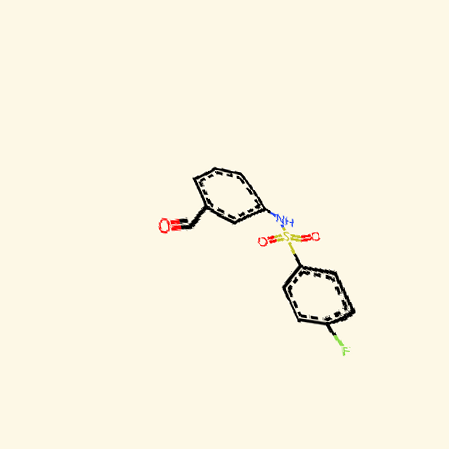 O=Cc1cccc(NS(=O)(=O)c2ccc(F)cc2)c1